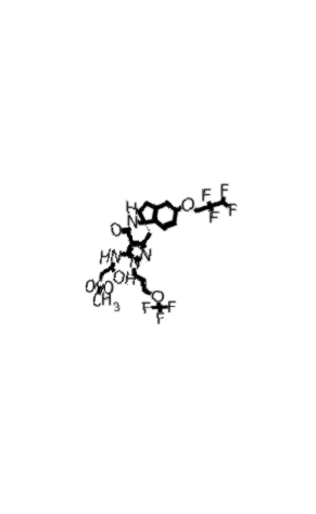 CS(=O)(=O)CC(O)Nc1c2c(nn1CCCOC(F)(F)F)C[C@@]1(CCC3=C1C=CC(OCC(F)(F)C(F)F)C3)NC2=O